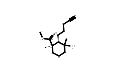 C#CCCC[C@H]1C(C)(O)CCC[C@@]1(C)C(=O)OC